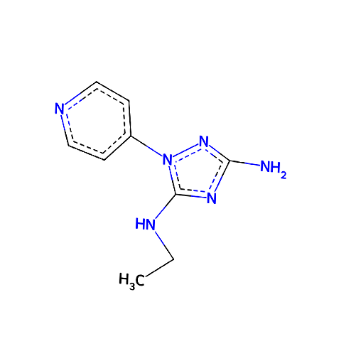 CCNc1nc(N)nn1-c1ccncc1